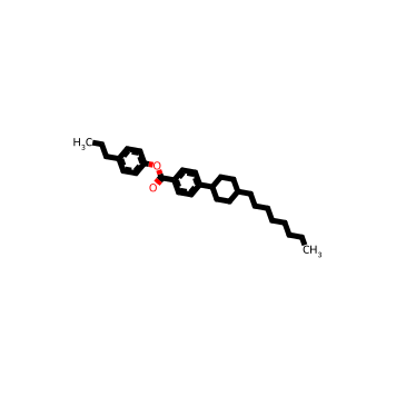 CCCCCCCCC1CCC(c2ccc(C(=O)Oc3ccc(CCC)cc3)cc2)CC1